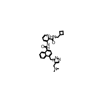 CN(C)Cc1cnnn1Cc1ccc(C(=O)Nc2cccnc2C(=O)NCC2CCC2)c2ccccc12